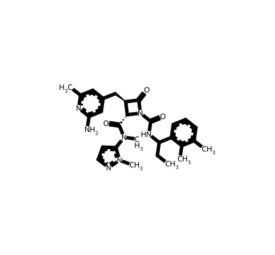 CCC(NC(=O)N1C(=O)[C@H](Cc2cc(C)nc(N)c2)[C@H]1C(=O)N(C)c1ccnn1C)c1cccc(C)c1C